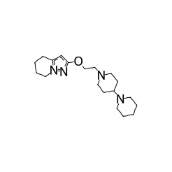 c1c(OCCN2CCC(N3CCCCC3)CC2)nn2c1CCCC2